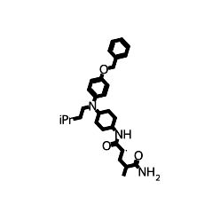 CC(C)CCN(c1ccc(OCc2ccccc2)cc1)C1CCC(NC(=O)[CH]CC(C)C(N)=O)CC1